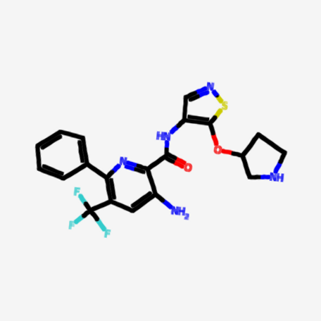 Nc1cc(C(F)(F)F)c(-c2ccccc2)nc1C(=O)Nc1cnsc1OC1CCNC1